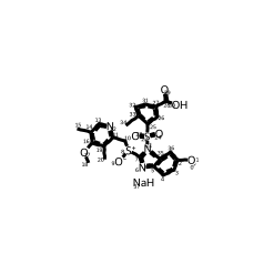 COc1ccc2nc([S+]([O-])Cc3ncc(C)c(OC)c3C)n(S(=O)(=O)c3cc(C(=O)O)ccc3C)c2c1.[NaH]